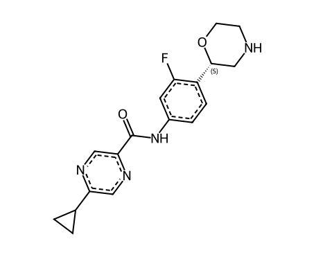 O=C(Nc1ccc([C@H]2CNCCO2)c(F)c1)c1cnc(C2CC2)cn1